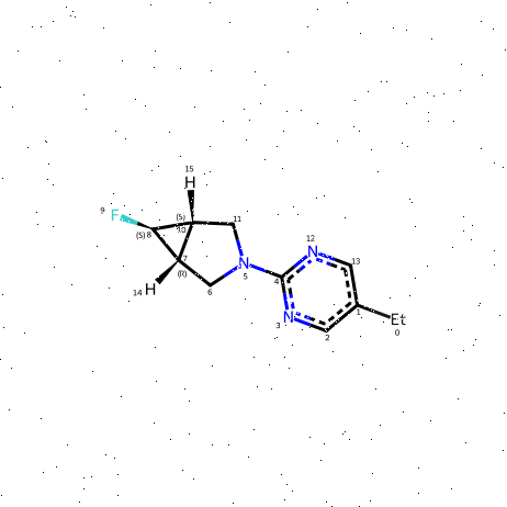 CCc1cnc(N2C[C@@H]3[C@@H](F)[C@@H]3C2)nc1